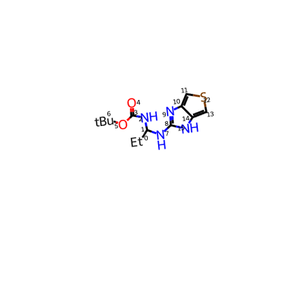 CCC(NC(=O)OC(C)(C)C)Nc1nc2cscc2[nH]1